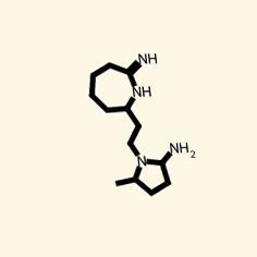 CC1CCC(N)N1CCC1CCCCC(=N)N1